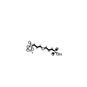 COS(=O)(=O)CCCOCCCS(=O)(=O)O